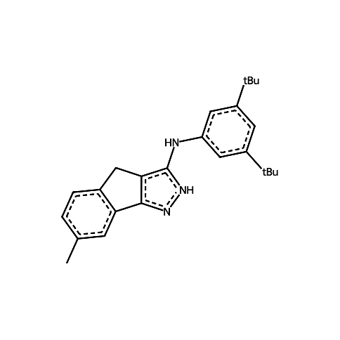 Cc1ccc2c(c1)-c1n[nH]c(Nc3cc(C(C)(C)C)cc(C(C)(C)C)c3)c1C2